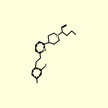 C=CC(CCC)N1CCC(c2cccc(CCc3ccc(C)cc3F)n2)CC1